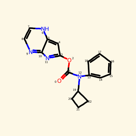 O=C(Oc1cc2[nH]ccnc-2n1)N(c1ccccc1)C1CCC1